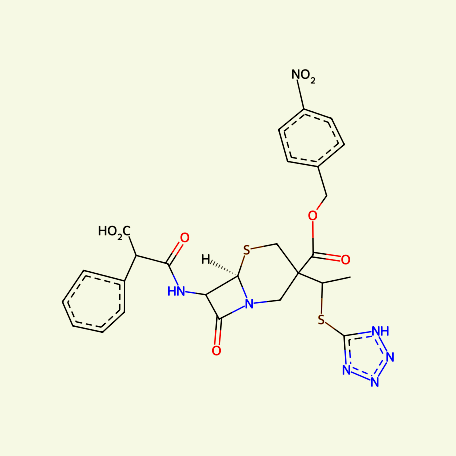 CC(Sc1nnn[nH]1)C1(C(=O)OCc2ccc([N+](=O)[O-])cc2)CS[C@@H]2C(NC(=O)C(C(=O)O)c3ccccc3)C(=O)N2C1